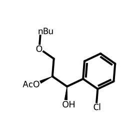 CCCCOC[C@H](OC(C)=O)[C@H](O)c1ccccc1Cl